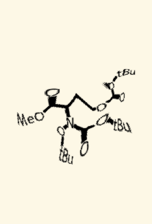 COC(=O)C(COC(=O)OC(C)(C)C)N(OC(C)(C)C)C(=O)OC(C)(C)C